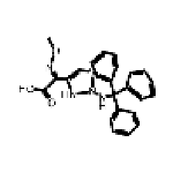 CO/N=C(/C(=O)O)C1=CSN(NC(c2ccccc2)(c2ccccc2)c2ccccc2)N1